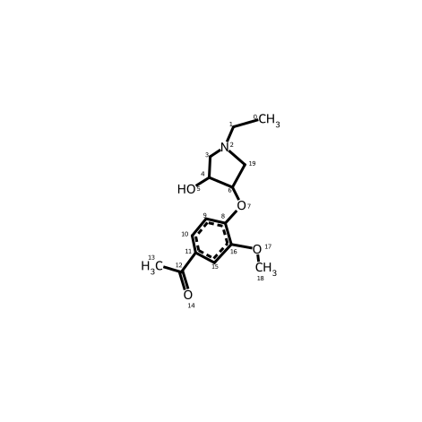 CCN1CC(O)C(Oc2ccc(C(C)=O)cc2OC)C1